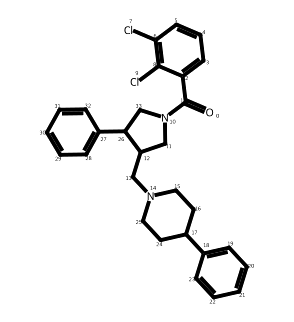 O=C(c1cccc(Cl)c1Cl)N1CC(CN2CCC(c3ccccc3)CC2)C(c2ccccc2)C1